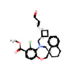 COC(=O)c1ccc2c(c1Cl)N(C[C@@H]1CC[C@H]1/C=C/C=O)C[C@@]1(CCCc3ccccc31)CO2